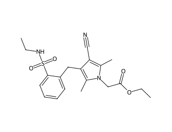 CCNS(=O)(=O)c1ccccc1Cc1c(C#N)c(C)n(CC(=O)OCC)c1C